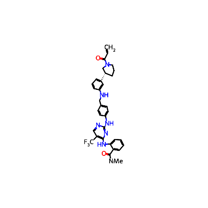 C=CC(=O)N1CCC[C@H](c2cccc(NCc3ccc(Nc4ncc(C(F)(F)F)c(Nc5ccccc5C(=O)NC)n4)cc3)c2)C1